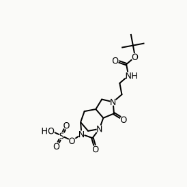 CC(C)(C)OC(=O)NCCN1CC2CC3CN(C(=O)N3OS(=O)(=O)O)C2C1=O